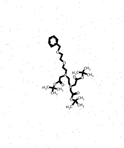 CC(C)(C)OC(=O)CN(CCOCCOCc1ccccc1)CCN(CC(=O)OC(C)(C)C)CC(=O)OC(C)(C)C